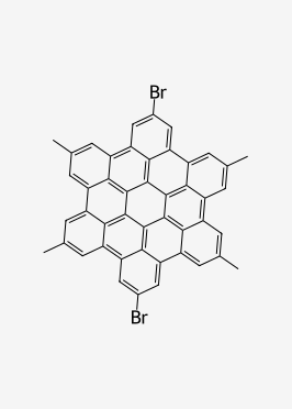 Cc1cc2c3cc(C)cc4c5cc(Br)cc6c7cc(C)cc8c9cc(C)cc%10c%11cc(Br)cc%12c(c1)c2c1c(c34)c(c56)c(c87)c(c9%10)c1c%12%11